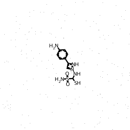 Nc1ccc(-c2cn(NC(S)S(N)(=O)=O)[nH]2)cc1